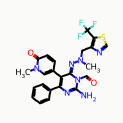 CN(Cc1ncsc1C(F)(F)F)/N=c1/c(-c2ccc(=O)n(C)c2)c(-c2ccccc2)nc(N)n1C=O